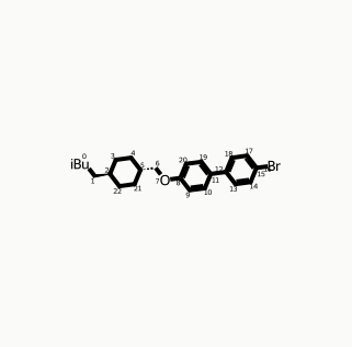 CCC(C)C[C@H]1CC[C@H](COc2ccc(-c3ccc(Br)cc3)cc2)CC1